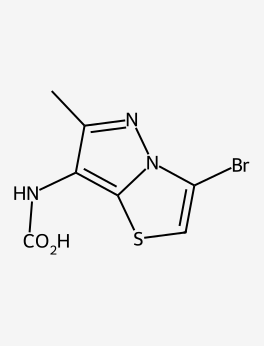 Cc1nn2c(Br)csc2c1NC(=O)O